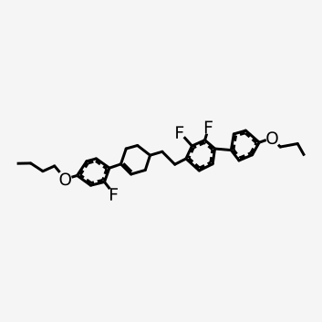 CCCCOc1ccc(C2=CCC(CCc3ccc(-c4ccc(OCCC)cc4)c(F)c3F)CC2)c(F)c1